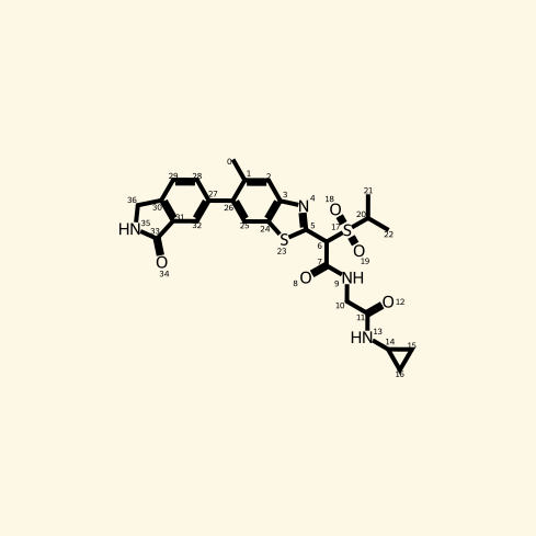 Cc1cc2nc(C(C(=O)NCC(=O)NC3CC3)S(=O)(=O)C(C)C)sc2cc1-c1ccc2c(c1)C(=O)NC2